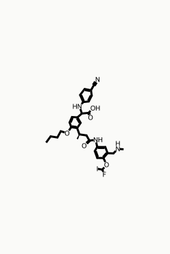 CCCCOc1ccc(C(Nc2ccc(C#N)cc2)C(=O)O)cc1[C@H](C)CC(=O)Nc1ccc(OC(F)I)c(CNC)c1